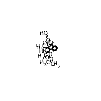 CC1=C(OC(=O)OCCO)C(c2ccccc2C(F)(F)F)C(OC(=O)OC(C)C)=C(C)N1